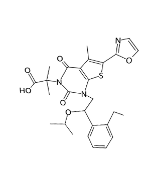 CCc1ccccc1C(Cn1c(=O)n(C(C)(C)C(=O)O)c(=O)c2c(C)c(-c3ncco3)sc21)OC(C)C